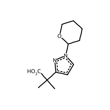 CC(C)(C(=O)O)c1ccn(C2CCCCO2)n1